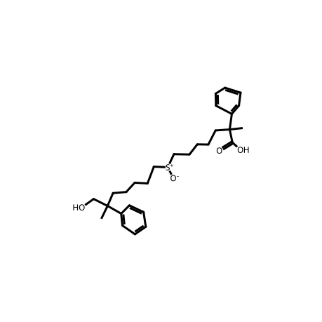 CC(CO)(CCCCC[S+]([O-])CCCCCC(C)(C(=O)O)c1ccccc1)c1ccccc1